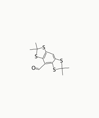 CC1(C)Sc2cc3c(c(C=O)c2S1)SC(C)(C)S3